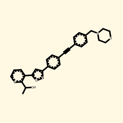 CC(O)c1ncccc1-c1cc(-c2ccc(C#Cc3ccc(CN4CCOCC4)cc3)cc2)no1